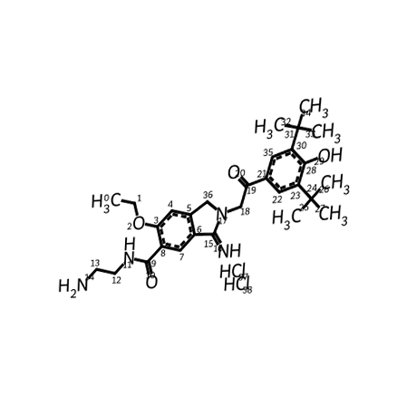 CCOc1cc2c(cc1C(=O)NCCN)C(=N)N(CC(=O)c1cc(C(C)(C)C)c(O)c(C(C)(C)C)c1)C2.Cl.Cl